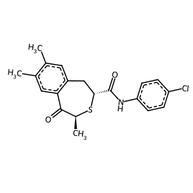 Cc1cc2c(cc1C)C(=O)[C@H](C)S[C@@H](C(=O)Nc1ccc(Cl)cc1)C2